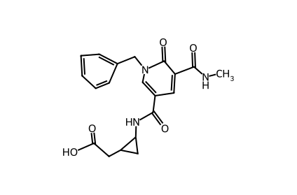 CNC(=O)c1cc(C(=O)NC2CC2CC(=O)O)cn(Cc2ccccc2)c1=O